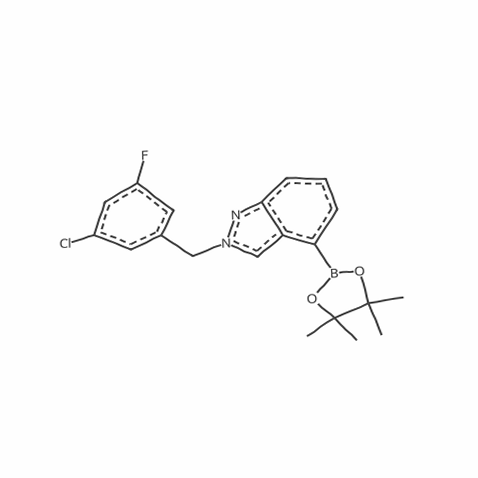 CC1(C)OB(c2cccc3nn(Cc4cc(F)cc(Cl)c4)cc23)OC1(C)C